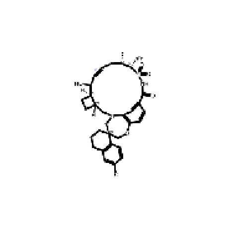 CCC[C@H]1[C@@H](C)C/C=C\C(O)[C@@H]2CC[C@H]2CN2C[C@@]3(CCCc4cc(Cl)ccc43)COc3ccc(cc32)C(=O)NS1(=O)=O